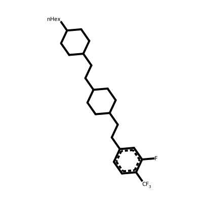 CCCCCCC1CCC(CCC2CCC(CCc3ccc(C(F)(F)F)c(F)c3)CC2)CC1